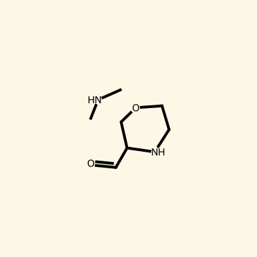 CNC.O=CC1COCCN1